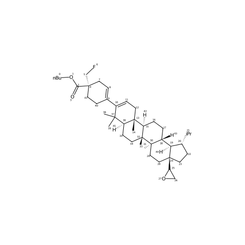 CCCCOC(=O)[C@@]1(CF)CC=C(C2=CC[C@]3(C)[C@H]4CC[C@@H]5[C@H]6[C@H](C(C)C)CC[C@]6(C6CO6)CC[C@@]5(C)[C@]4(C)CC[C@H]3C2(C)C)CC1